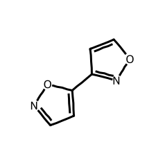 c1cc(-c2ccon2)on1